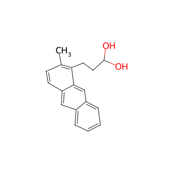 Cc1ccc2cc3ccccc3cc2c1CCC(O)O